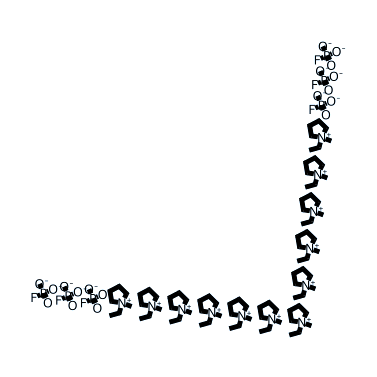 CC[N+]1(C)CCCC1.CC[N+]1(C)CCCC1.CC[N+]1(C)CCCC1.CC[N+]1(C)CCCC1.CC[N+]1(C)CCCC1.CC[N+]1(C)CCCC1.CC[N+]1(C)CCCC1.CC[N+]1(C)CCCC1.CC[N+]1(C)CCCC1.CC[N+]1(C)CCCC1.CC[N+]1(C)CCCC1.CC[N+]1(C)CCCC1.O=P([O-])([O-])F.O=P([O-])([O-])F.O=P([O-])([O-])F.O=P([O-])([O-])F.O=P([O-])([O-])F.O=P([O-])([O-])F